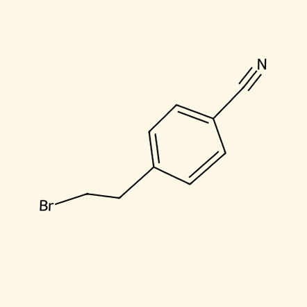 N#Cc1ccc(CCBr)cc1